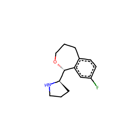 Fc1ccc2c(c1)[C@H]([C@H]1CCCN1)OCCC2